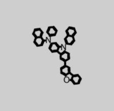 c1ccc(N(c2ccc3c4cc(-c5ccc6oc7ccccc7c6c5)ccc4n(-c4ccc5ccccc5c4)c3c2)c2cccc3ccccc23)cc1